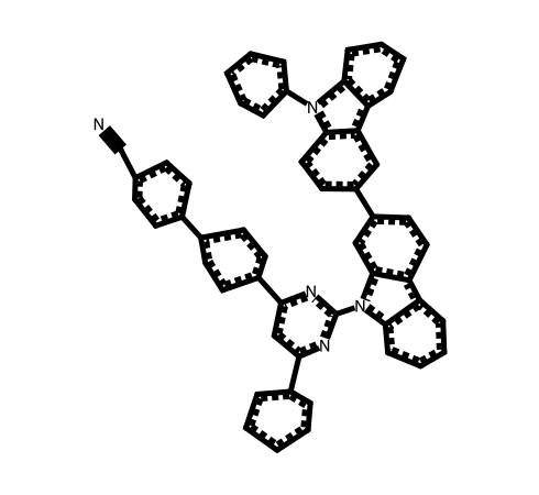 N#Cc1ccc(-c2ccc(-c3cc(-c4ccccc4)nc(-n4c5ccccc5c5ccc(-c6ccc7c(c6)c6ccccc6n7-c6ccccc6)cc54)n3)cc2)cc1